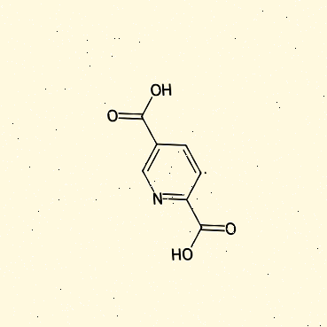 O=C(O)c1c[c]c(C(=O)O)nc1